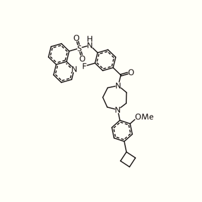 COc1cc(C2CCC2)ccc1N1CCCN(C(=O)c2ccc(NS(=O)(=O)c3cccc4cccnc34)c(F)c2)CC1